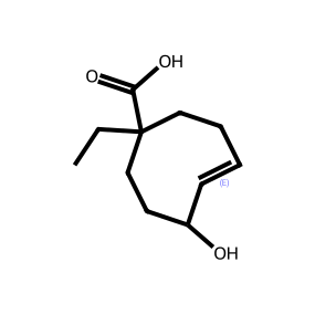 CCC1(C(=O)O)CC/C=C/C(O)CC1